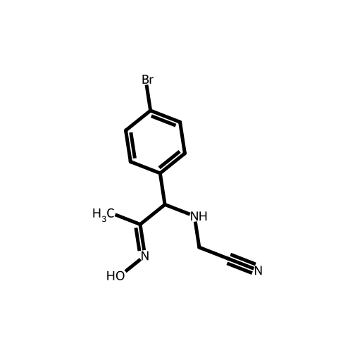 C/C(=N\O)C(NCC#N)c1ccc(Br)cc1